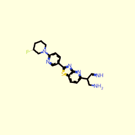 N=CC(CN)c1ccc2sc(-c3ccc(N4CCC[C@@H](F)C4)nc3)nc2n1